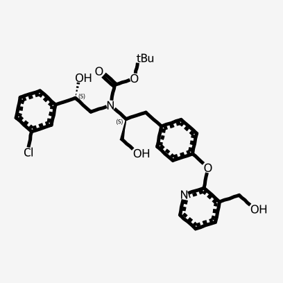 CC(C)(C)OC(=O)N(C[C@@H](O)c1cccc(Cl)c1)[C@H](CO)Cc1ccc(Oc2ncccc2CO)cc1